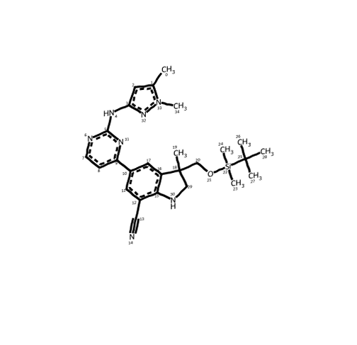 Cc1cc(Nc2nccc(-c3cc(C#N)c4c(c3)C(C)(CO[Si](C)(C)C(C)(C)C)CN4)n2)nn1C